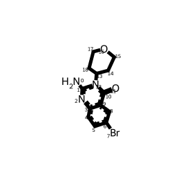 Nc1nc2ccc(Br)cc2c(=O)n1C1CCOCC1